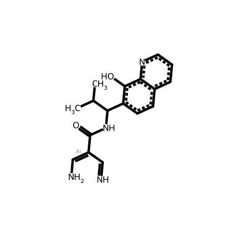 CC(C)C(NC(=O)/C(C=N)=C/N)c1ccc2cccnc2c1O